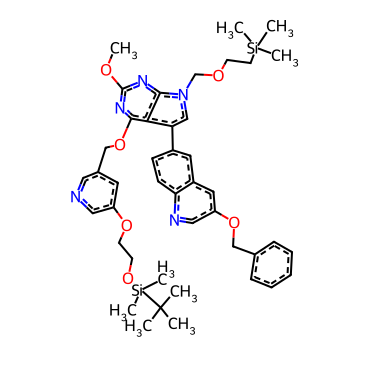 COc1nc(OCc2cncc(OCCO[Si](C)(C)C(C)(C)C)c2)c2c(-c3ccc4ncc(OCc5ccccc5)cc4c3)cn(COCC[Si](C)(C)C)c2n1